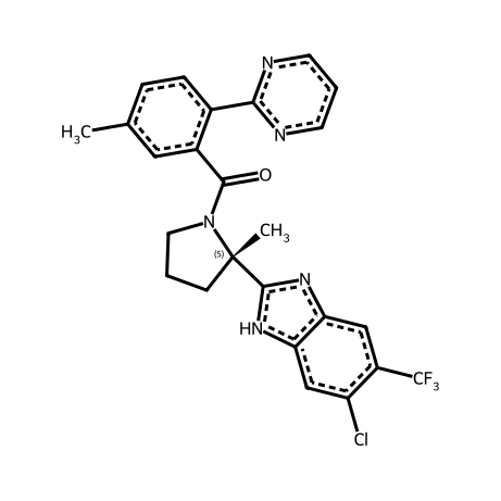 Cc1ccc(-c2ncccn2)c(C(=O)N2CCC[C@@]2(C)c2nc3cc(C(F)(F)F)c(Cl)cc3[nH]2)c1